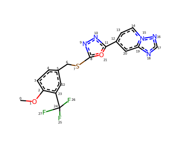 COc1ccc(CSc2nnc(-c3ccn4ncnc4c3)o2)cc1C(F)(F)F